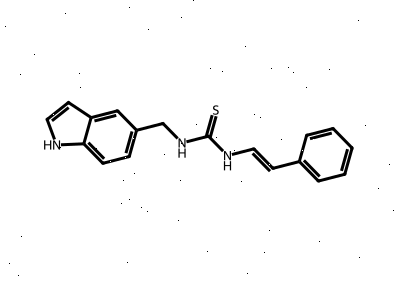 S=C(NC=Cc1ccccc1)NCc1ccc2[nH]ccc2c1